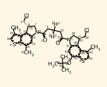 [2H]C([2H])(CC(=O)N1C[C@@H](CCl)c2c1cc(C)c1scc(C)c21)CC(=O)N1C[C@@H](CCl)c2c1cc(OC(C)(C)C)c1scc(C)c21